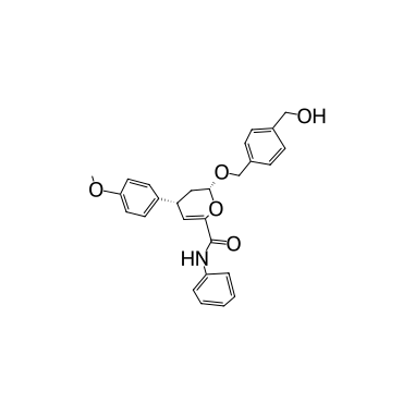 COc1ccc([C@H]2C=C(C(=O)Nc3ccccc3)O[C@@H](OCc3ccc(CO)cc3)C2)cc1